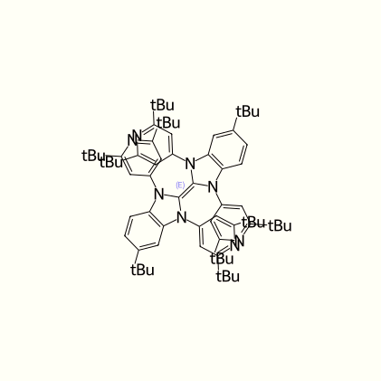 CC(C)(C)c1ccc2c(c1)N(c1cc(C(C)(C)C)nc(C(C)(C)C)c1)/C(=C1\N(c3cc(C(C)(C)C)nc(C(C)(C)C)c3)c3ccc(C(C)(C)C)cc3N1c1cc(C(C)(C)C)nc(C(C)(C)C)c1)N2c1cc(C(C)(C)C)nc(C(C)(C)C)c1